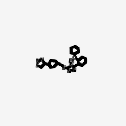 CCn1c(SCc2ccc(-c3csnn3)cc2)nnc1-c1ccccc1Oc1ccccc1